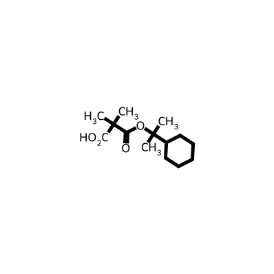 CC(C)(C(=O)O)C(=O)OC(C)(C)C1CCCCC1